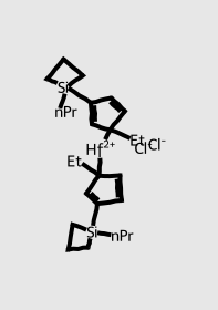 CCC[Si]1(C2=C[C](CC)([Hf+2][C]3(CC)C=CC([Si]4(CCC)CCC4)=C3)C=C2)CCC1.[Cl-].[Cl-]